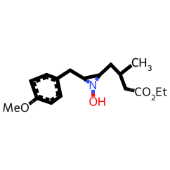 CCOC(=O)CC(C)CC1C(Cc2ccc(OC)cc2)N1O